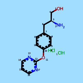 Cl.Cl.N[C@H](CO)Cc1ccc(Oc2ncccn2)cc1